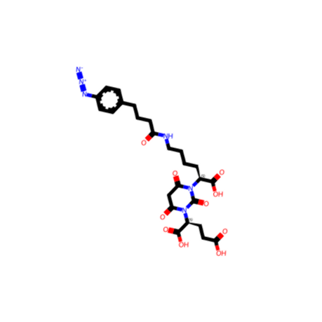 [N-]=[N+]=Nc1ccc(CCCC(=O)NCCCC[C@@H](C(=O)O)N2C(=O)CC(=O)N([C@@H](CCC(=O)O)C(=O)O)C2=O)cc1